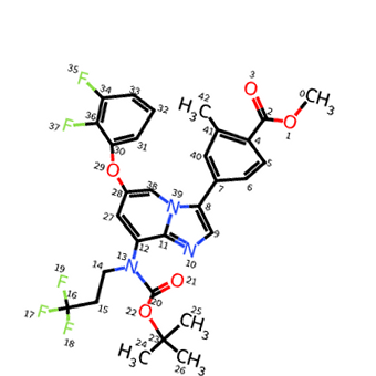 COC(=O)c1ccc(-c2cnc3c(N(CCC(F)(F)F)C(=O)OC(C)(C)C)cc(Oc4cccc(F)c4F)cn23)cc1C